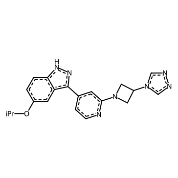 CC(C)Oc1ccc2[nH]nc(-c3ccnc(N4CC(n5cnnc5)C4)c3)c2c1